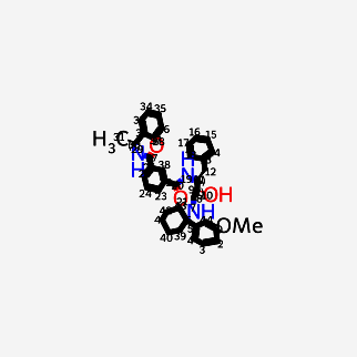 COc1cccc(C2(NC[C@@H](O)[C@H](Cc3ccccc3)NC(=O)c3cccc(C(=O)N[C@H](C)c4ccccc4)c3)CCCCC2)c1